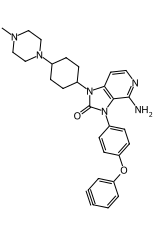 CN1CCN(C2CCC(n3c(=O)n(-c4ccc(Oc5cc#ccc5)cc4)c4c(N)nccc43)CC2)CC1